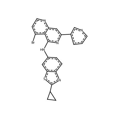 Brc1ccnc2cc(-c3cccnc3)nc(Nc3ccc4nc(C5CC5)sc4c3)c12